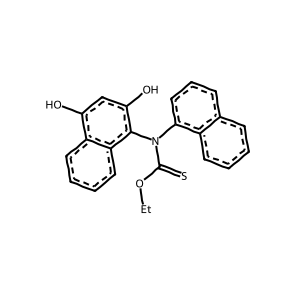 CCOC(=S)N(c1cccc2ccccc12)c1c(O)cc(O)c2ccccc12